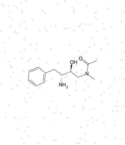 CC(=O)N(C)C[C@H](O)[C@H](N)Cc1ccccc1